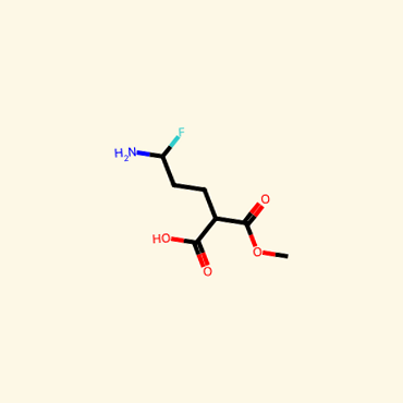 COC(=O)C(CCC(N)F)C(=O)O